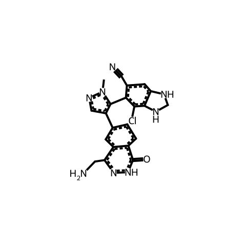 Cn1ncc(-c2ccc3c(=O)[nH]nc(CN)c3c2)c1-c1c(C#N)cc2c(c1Cl)NCN2